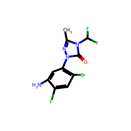 Cc1nn(-c2cc(N)c(F)cc2Br)c(=O)n1C(F)F